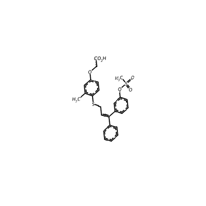 Cc1cc(OCC(=O)O)ccc1SCC=C(c1ccccc1)c1cccc(OS(C)(=O)=O)c1